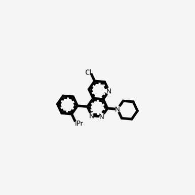 CC(C)c1ccccc1-c1nnc(N2CCCCC2)c2ncc(Cl)cc12